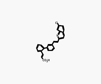 O=C(O)C=Cc1ccccc1-c1cccc(C=Cc2ccc3ccc(Cl)cc3n2)c1